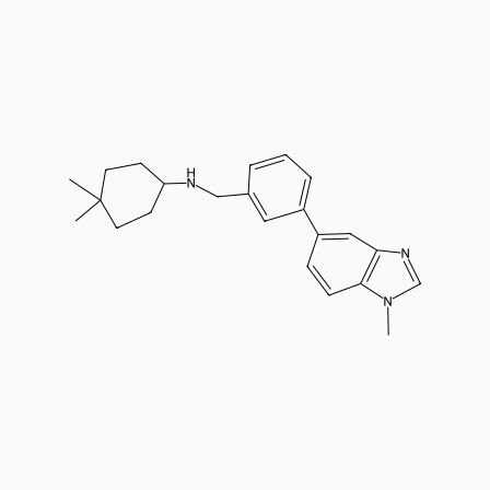 Cn1cnc2cc(-c3cccc(CNC4CCC(C)(C)CC4)c3)ccc21